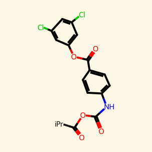 CC(C)C(=O)OC(=O)Nc1ccc(C(=O)Oc2cc(Cl)cc(Cl)c2)cc1